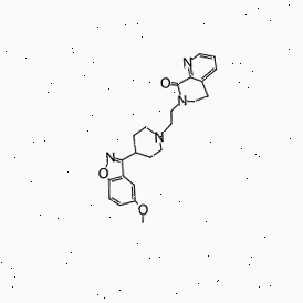 COc1ccc2onc(C3CCN(CCN4CCc5cccnc5C4=O)CC3)c2c1